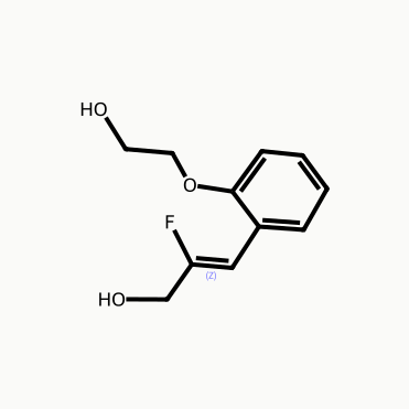 OCCOc1ccccc1/C=C(\F)CO